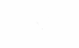 CC(C)N(C)C[C@@H](C)O